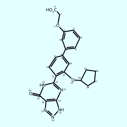 O=C(O)COc1cccc(-c2ccc(-c3nc4[nH]nnc4c(=O)[nH]3)c(OC3CCCC3)c2)c1